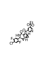 CCS(=O)(=O)c1cncc(C(=O)N2[C@@H](C(=O)NC(c3cc(F)c(Cl)cc3F)C3CC3)C[C@H]3C[C@H]32)c1